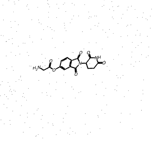 NCC(=O)Oc1ccc2c(c1)C(=O)N(C1CCC(=O)NC1=O)C2=O